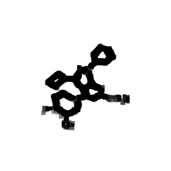 O=C(O)c1cc(N2CC[C@@H](F)[C@H](O)C2)c2c(C3CCC3)nn(-c3ccccc3)c2n1